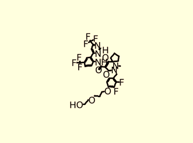 CN1N(Cc2ccc(OCCCOCCO)c(F)c2F)C(=O)C(C(=O)Nc2ccc(C(F)(F)F)cc2-c2cc(C(F)(F)F)ncn2)=C(O)C12CCCC2